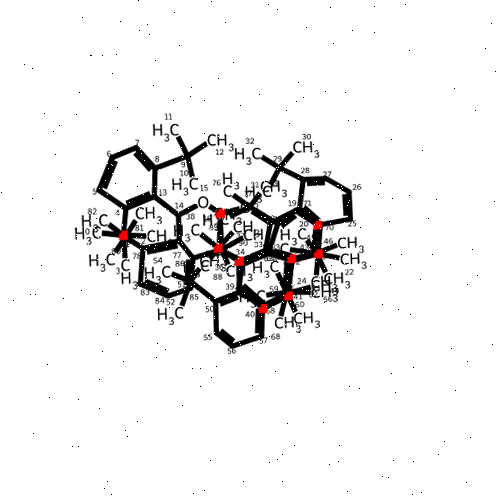 CC(C)(C)c1cccc(C(C)(C)C)c1C(OP(OC(c1c(C(C)(C)C)cccc1C(C)(C)C)c1c(C(C)(C)C)cccc1C(C)(C)C)OC(c1c(C(C)(C)C)cccc1C(C)(C)C)c1c(C(C)(C)C)cccc1C(C)(C)C)c1c(C(C)(C)C)cccc1C(C)(C)C